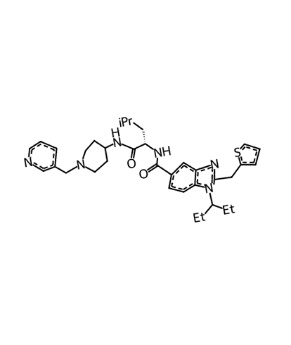 CCC(CC)n1c(Cc2cccs2)nc2cc(C(=O)N[C@@H](CC(C)C)C(=O)NC3CCN(Cc4cccnc4)CC3)ccc21